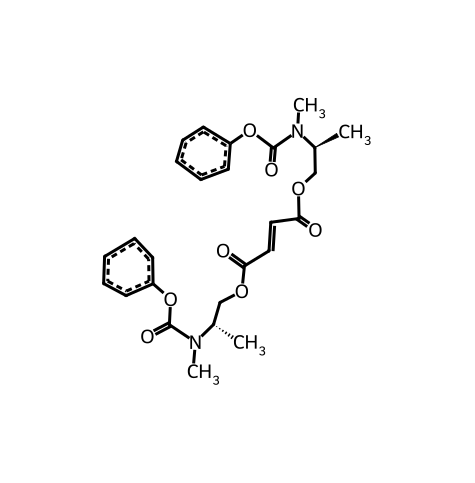 C[C@@H](COC(=O)/C=C/C(=O)OC[C@H](C)N(C)C(=O)Oc1ccccc1)N(C)C(=O)Oc1ccccc1